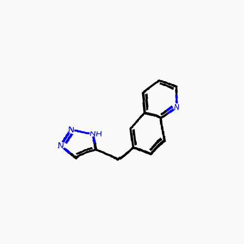 c1cnc2ccc(Cc3cnn[nH]3)cc2c1